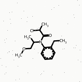 CCc1ccccc1N(C(=O)C(C)Cl)C(C)COC